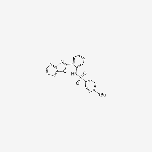 CC(C)(C)c1ccc(S(=O)(=O)Nc2ccccc2-c2nc3ncccc3o2)cc1